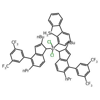 CCCCC1=Cc2c(ccc(CCC)c2-c2cc(C(F)(F)F)cc(C(F)(F)F)c2)[CH]1[Zr]([Cl])([Cl])([c]1cccc2c1[SiH2]c1ccccc1-2)[CH]1C(CCCC)=Cc2c1ccc(CCC)c2-c1cc(C(F)(F)F)cc(C(F)(F)F)c1